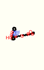 CC(C)(C)OC(=O)COCCCCOCCCCOc1cccc(O)c1C(=O)NC(=O)NC1CCCCC1